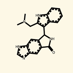 CN(C)Cc1[nH]c2ccccc2c1C1NC(=O)c2cc3nc[nH]c3cc21